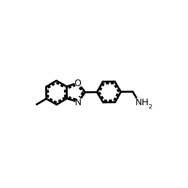 Cc1ccc2oc(-c3ccc(CN)cc3)nc2c1